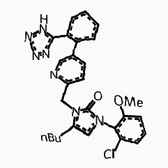 CCCCc1cn(-c2c(Cl)cccc2OC)c(=O)n1Cc1ccc(-c2ccccc2-c2nnn[nH]2)cn1